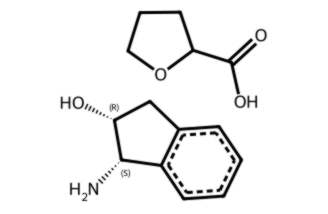 N[C@H]1c2ccccc2C[C@H]1O.O=C(O)C1CCCO1